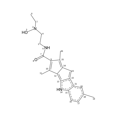 CCN(O)CCNC(=O)C1=C(C)C2=c3[nH]c4ccc(C)cc4c3=CC2=C1C